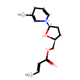 O=C(O)/C=C/C(=O)OC[C@@H]1CC[C@H](N2C=CCC(C(=O)O)=C2)O1